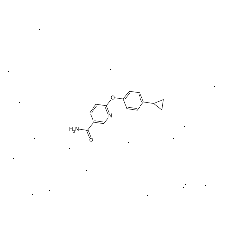 NC(=O)c1ccc(Oc2ccc(C3CC3)cc2)nc1